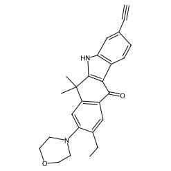 C#Cc1ccc2c3c([nH]c2c1)C(C)(C)c1cc(N2CCOCC2)c(CC)cc1C3=O